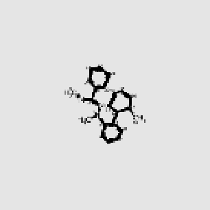 C=N/C(=N\N(C)c1ccccc1C1C=CC=CC1C)c1ccccc1